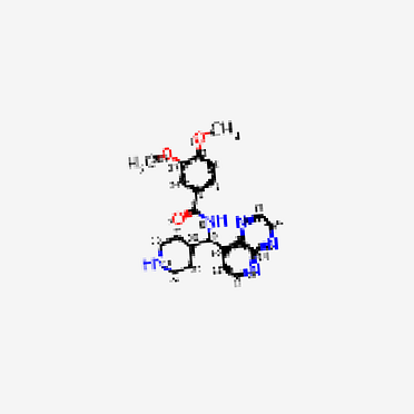 COc1ccc(C(=O)NC(c2ccnc3nccnc23)C2CCNCC2)cc1OC